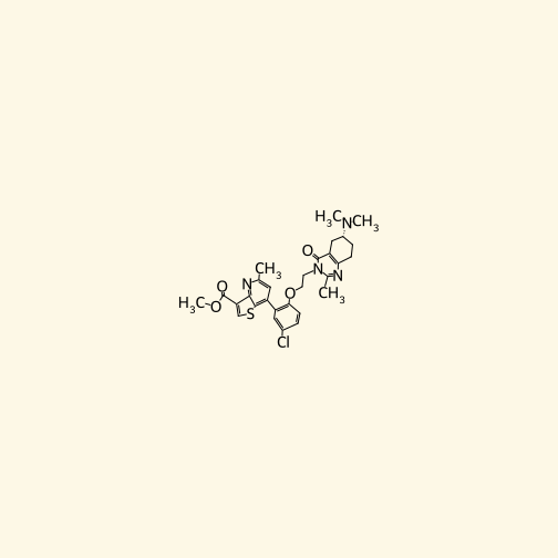 COC(=O)c1csc2c(-c3cc(Cl)ccc3OCCn3c(C)nc4c(c3=O)C[C@H](N(C)C)CC4)cc(C)nc12